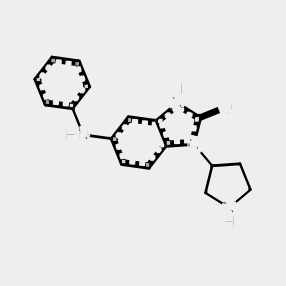 O=c1[nH]c2cc(Nc3ccccc3)ccc2n1C1CCNC1